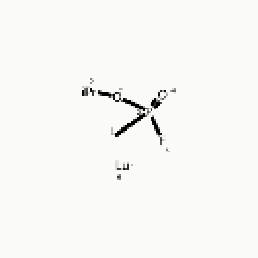 CC(C)OP(C)(=O)F.[Lu]